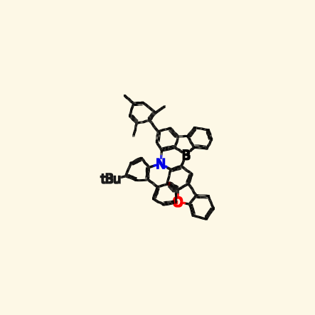 Cc1cc(C)c(-c2cc3c4c(c2)N(c2ccc(C(C)(C)C)cc2-c2ccccc2)c2cc5oc6ccccc6c5cc2B4c2ccccc2-3)c(C)c1